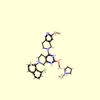 COc1cc2c(cn1)CCN(c1nc(OC[C@@H]3CCCN3C)nc3c1CCN(c1cccc4cccc(Cl)c14)C3)C2